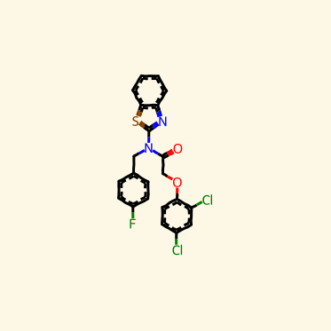 O=C(COc1ccc(Cl)cc1Cl)N(Cc1ccc(F)cc1)c1nc2ccccc2s1